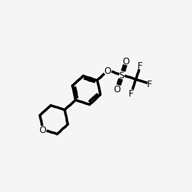 O=S(=O)(Oc1ccc(C2CCOCC2)cc1)C(F)(F)F